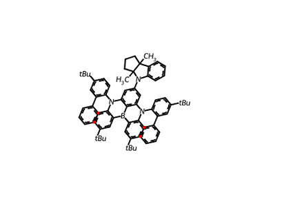 CC(C)(C)c1ccc2c(c1)B1c3cc(C(C)(C)C)ccc3N(c3ccc(C(C)(C)C)cc3-c3ccccc3)c3cc(N4c5ccccc5C5(C)CCCC45C)cc(c31)N2c1ccc(C(C)(C)C)cc1-c1ccccc1